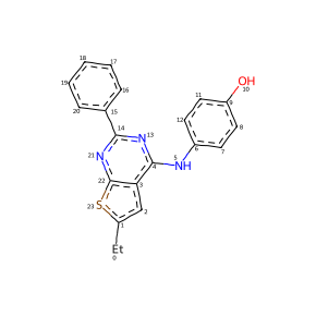 CCc1cc2c(Nc3ccc(O)cc3)nc(-c3ccccc3)nc2s1